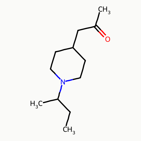 CCC(C)N1CCC(CC(C)=O)CC1